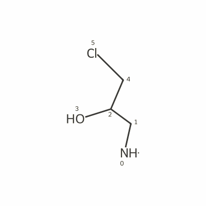 [NH]CC(O)CCl